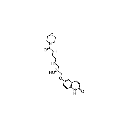 O=C(NCCNC[C@H](O)COc1ccc2[nH]c(=O)ccc2c1)N1CCOCC1